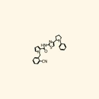 N#Cc1ccccc1Cn1cccc1C(=O)Nc1nc(C2CCCN2c2ccccc2)cs1